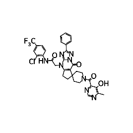 Cc1ncnc(C(=O)N2CCC3(CCc4c3c(=O)n3nc(-c5ccccc5)nc3n4CC(=O)Nc3ccc(C(F)(F)F)cc3Cl)CC2)c1O